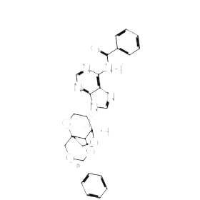 O=C(Nc1ncnc2c1ncn2[C@H]1COC23CO[C@@H](c4ccccc4)OC2[C@@H]1OC3)c1ccccc1